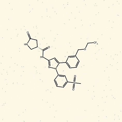 CS(=O)(=O)c1cccc(-n2nc(NC(=O)[C@@H]3CNC(=O)C3)cc2-c2cccc(COCC(F)(F)F)c2)c1